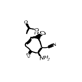 CC(=O)O.N#CC1=C(N)C(=O)C=CC1=O